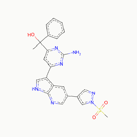 CC(O)(c1ccccc1)c1cc(-c2c[nH]c3ncc(-c4cnn(S(C)(=O)=O)c4)cc23)nc(N)n1